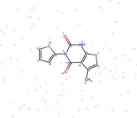 Cc1csc2[nH]c(=O)n(-c3cccs3)c(=O)c12